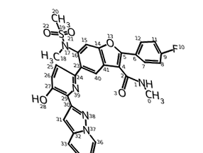 CNC(=O)c1c(-c2ccc(F)cc2)oc2cc(N(C)S(C)(=O)=O)c(-c3ccc(O)c(-c4cc5ccccn5n4)n3)cc12